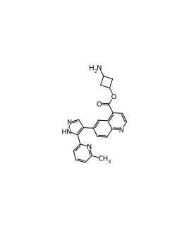 Cc1cccc(-c2[nH]ncc2-c2ccc3nccc(C(=O)OC4CC(N)C4)c3c2)n1